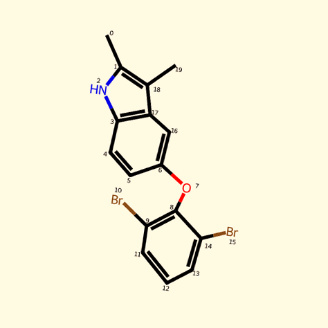 Cc1[nH]c2ccc(Oc3c(Br)cccc3Br)cc2c1C